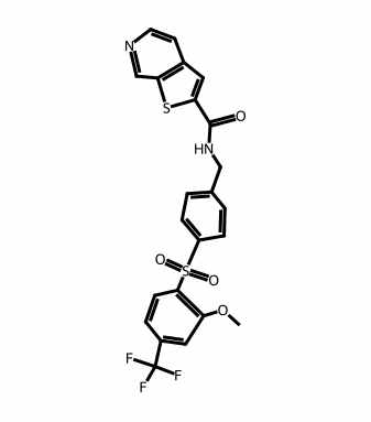 COc1cc(C(F)(F)F)ccc1S(=O)(=O)c1ccc(CNC(=O)c2cc3ccncc3s2)cc1